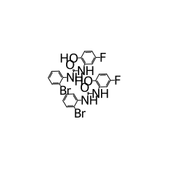 O=C(Nc1cc(F)ccc1O)Nc1ccccc1Br.O=C(Nc1cc(F)ccc1O)Nc1ccccc1Br